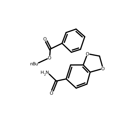 CCCCOC(=O)c1ccccc1.NC(=O)c1ccc2c(c1)OCO2